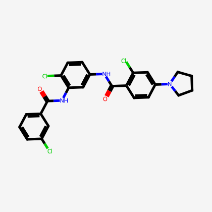 O=C(Nc1cc(NC(=O)c2ccc(N3CCCC3)cc2Cl)ccc1Cl)c1cccc(Cl)c1